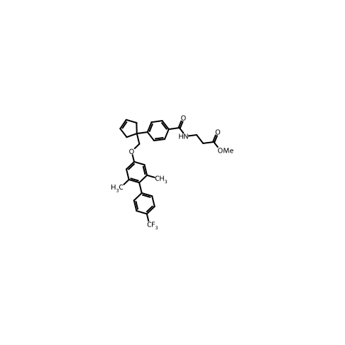 COC(=O)CCNC(=O)c1ccc(C2(COc3cc(C)c(-c4ccc(C(F)(F)F)cc4)c(C)c3)CC=CC2)cc1